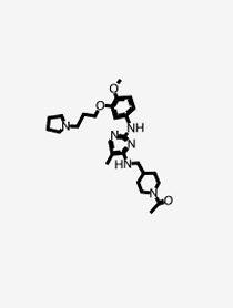 COc1ccc(Nc2ncc(C)c(NCC3CCN(C(C)=O)CC3)n2)cc1OCCCN1CCCC1